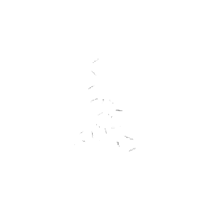 O=C(Nc1ccc(I)cc1F)[C@H](Cc1ccccc1)N1C(=O)N[C@H](C2=COC=C(C3=CC=CCC3)O2)C1=O